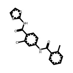 Cc1ccccc1C(=O)Nc1ccc(C(=O)Nc2nccs2)c(Cl)c1